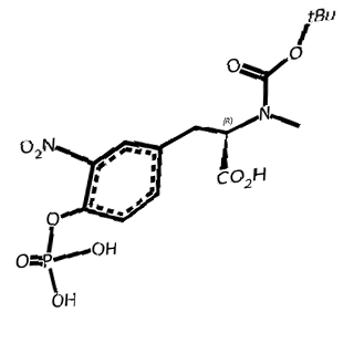 CN(C(=O)OC(C)(C)C)[C@H](Cc1ccc(OP(=O)(O)O)c([N+](=O)[O-])c1)C(=O)O